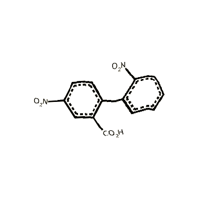 O=C(O)c1cc([N+](=O)[O-])ccc1-c1ccccc1[N+](=O)[O-]